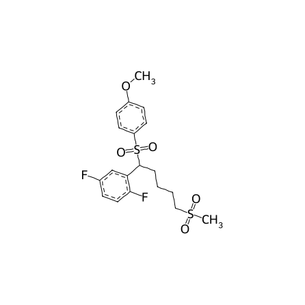 COc1ccc(S(=O)(=O)C(CCCCS(C)(=O)=O)c2cc(F)ccc2F)cc1